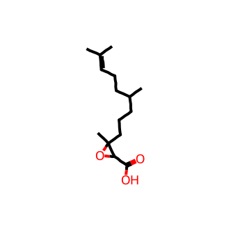 CC(C)=CCCC(C)CCCC1(C)OC1C(=O)O